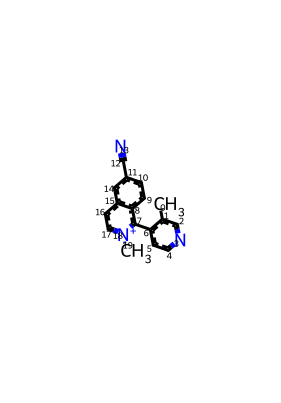 Cc1cnccc1-c1c2ccc(C#N)cc2cc[n+]1C